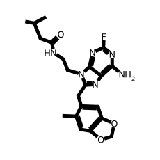 Cc1cc2c(cc1Cc1nc3c(N)nc(F)nc3n1CCNC(=O)CC(C)C)OCO2